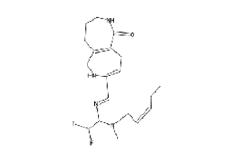 CC/C=C\CN(C)C(/N=C/C1=CCC2=C(CCCNC2=O)CN1)C(F)F